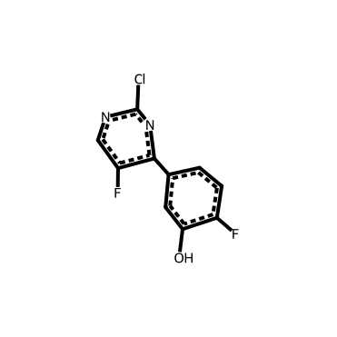 Oc1cc(-c2nc(Cl)ncc2F)ccc1F